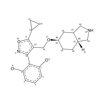 Clc1cccc(Cl)c1-c1noc(C2CC2)c1CO[C@@H]1CC[C@H]2CNCC2C1